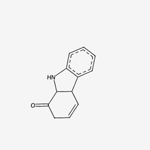 O=C1CC=CC2c3ccccc3NC12